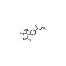 CCC(=O)c1ccc2c(C(=O)O)c(C(F)(F)F)[nH]c2c1